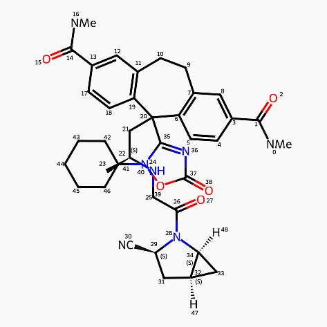 CNC(=O)c1ccc2c(c1)CCc1cc(C(=O)NC)ccc1C2(C[C@H](C)NCC(=O)N1[C@H](C#N)C[C@@H]2C[C@@H]21)c1nc(=O)on1C1CCCCC1